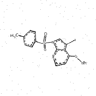 CCCOc1ccnc2c1c(I)cn2S(=O)(=O)c1ccc(C)cc1